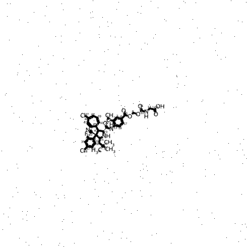 COc1cc(C(=O)OCOC(=O)NCC(=O)O)ccc1NC(=O)[C@@H]1NC(CC(C)(C)C)[C@](C#N)(c2ccc(Cl)cc2F)C1C1C#CC(Cl)=CC=C1